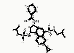 CC(C)CNS(=O)(=O)c1cc2c(c3cnc(C4CC4)cc13)[C@H](NS(=O)(=O)CC(C)C)C[C@H]2NC(=O)c1cccnc1